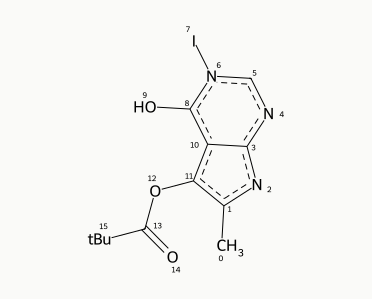 Cc1nc2ncn(I)c(O)c-2c1OC(=O)C(C)(C)C